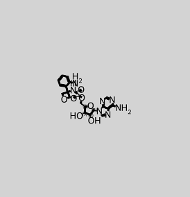 Nc1ccccc1C1(NS(=O)(=O)OC[C@H]2O[C@@H](n3cnc4c(N)ncnc43)[C@H](O)[C@@H]2O)COC1